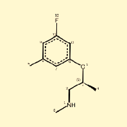 CNC[C@H](C)Oc1cc(C)cc(F)c1